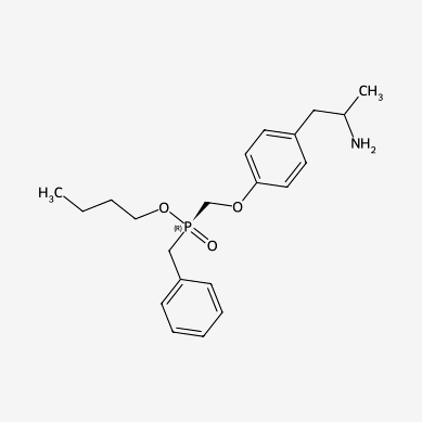 CCCCO[P@@](=O)(COc1ccc(CC(C)N)cc1)Cc1ccccc1